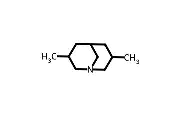 CC1CC2CC(C)CN(C1)C2